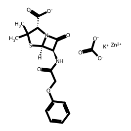 CC1(C)S[C@@H]2[C@H](NC(=O)COc3ccccc3)C(=O)N2[C@H]1C(=O)[O-].O=C([O-])[O-].[K+].[Zn+2]